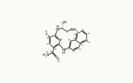 CC(C)[C@H](CN)Nc1nc(Nc2ccc3ncccc3c2)c(C(N)=O)cc1F